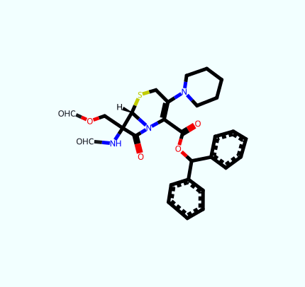 O=CNC1(COC=O)C(=O)N2C(C(=O)OC(c3ccccc3)c3ccccc3)=C(N3CCCCC3)CS[C@H]21